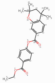 CCOC(=O)c1ccc(OC(=O)c2ccc3c(c2)OC(C)(C)CC3(C)C)cc1